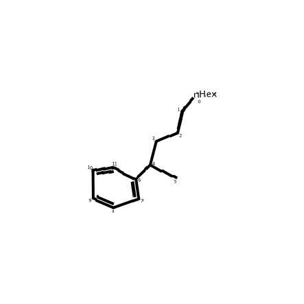 CCCCCCCCCC(C)c1c[c]ccc1